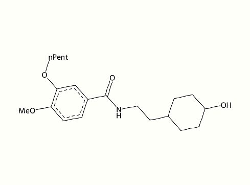 CCCCCOc1cc(C(=O)NCCC2CCC(O)CC2)ccc1OC